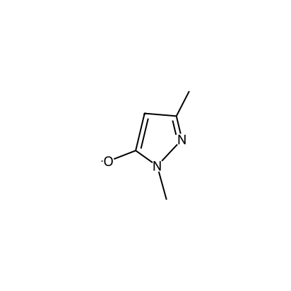 Cc1cc([O])n(C)n1